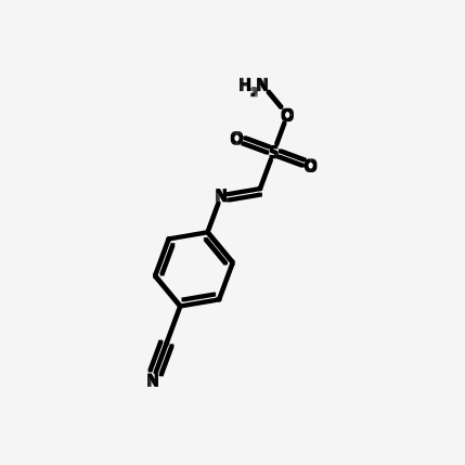 N#Cc1ccc(N=CS(=O)(=O)ON)cc1